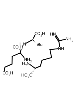 CC[C@@H](C)[C@@H](N)C(=O)O.N=C(N)NCCCC[C@@H](N)C(=O)O.NC(CCCC(=O)O)C(=O)O